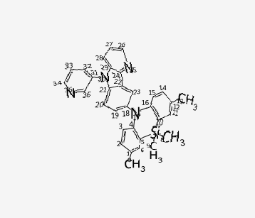 Cc1ccc2c(c1)[Si](C)(C)c1cc(C)ccc1N2c1ccc2c(c1)c1ncccc1n2-c1cccnc1